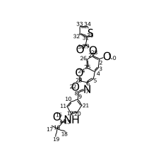 COc1cc(/C=C2/N=C(c3ccc(NC(=O)C(C)(C)C)cc3)OC2=O)ccc1OC(=O)c1cccs1